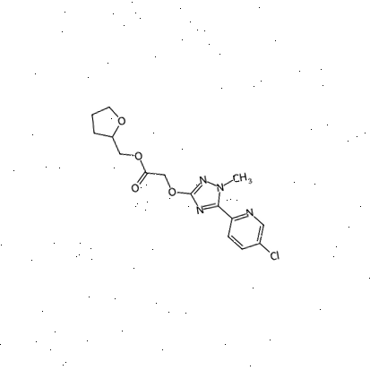 Cn1nc(OCC(=O)OCC2CCCO2)nc1-c1ccc(Cl)cn1